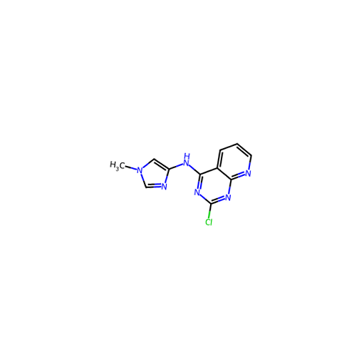 Cn1cnc(Nc2nc(Cl)nc3ncccc23)c1